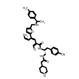 C\C=C/C(=C\C(=C\Cl)C(=O)N[C@@H](CNC(=O)CC1CCNCC1)Cc1ccc(C#N)cc1)c1ccc(CNC(C)c2ccc(C)cc2)o1